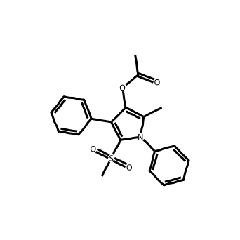 CC(=O)Oc1c(-c2ccccc2)c(S(C)(=O)=O)n(-c2ccccc2)c1C